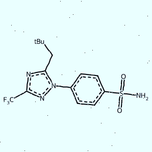 CC(C)(C)Cc1nc(C(F)(F)F)nn1-c1ccc(S(N)(=O)=O)cc1